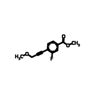 COCC#Cc1ccc(C(=O)OC)cc1F